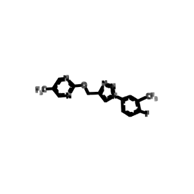 Fc1ccc(-n2cc(COc3ncc(C(F)(F)F)cn3)nn2)cc1C(F)(F)F